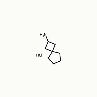 Cl.NC1CC2(CCCC2)C1